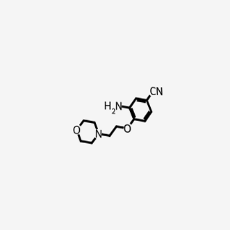 N#Cc1ccc(OCCN2CCOCC2)c(N)c1